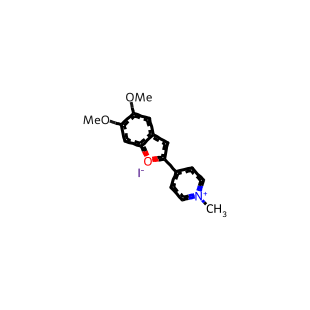 COc1cc2cc(-c3cc[n+](C)cc3)oc2cc1OC.[I-]